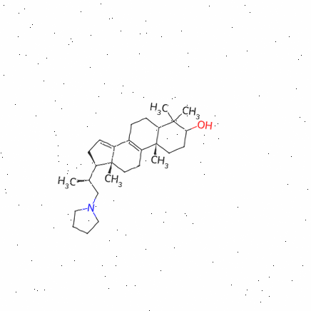 C[C@H](CN1CCCC1)[C@H]1CC=C2C3=C(CC[C@@]21C)[C@@]1(C)CCC(O)C(C)(C)C1CC3